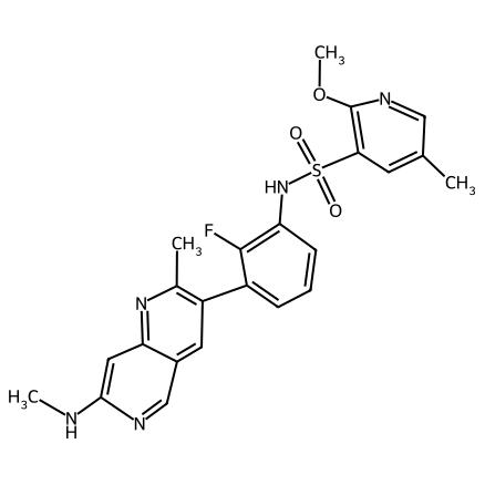 CNc1cc2nc(C)c(-c3cccc(NS(=O)(=O)c4cc(C)cnc4OC)c3F)cc2cn1